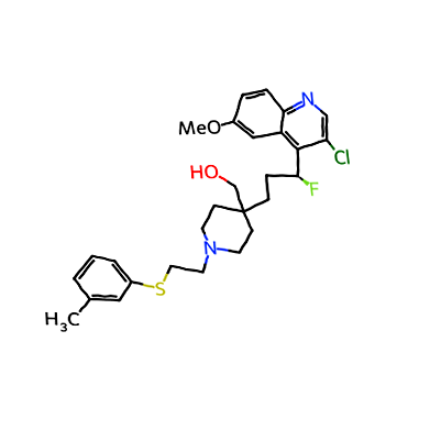 COc1ccc2ncc(Cl)c([C@@H](F)CCC3(CO)CCN(CCSc4cccc(C)c4)CC3)c2c1